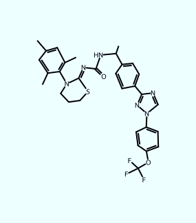 Cc1cc(C)c(N2CCCS/C2=N\C(=O)NC(C)c2ccc(-c3ncn(-c4ccc(OC(F)(F)F)cc4)n3)cc2)c(C)c1